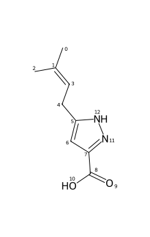 CC(C)=CCc1cc(C(=O)O)n[nH]1